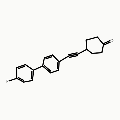 O=C1CCC(C#Cc2ccc(-c3ccc(F)cc3)cc2)CC1